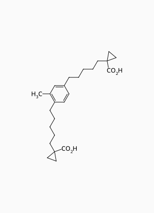 Cc1cc(CCCCCC2(C(=O)O)CC2)ccc1CCCCCC1(C(=O)O)CC1